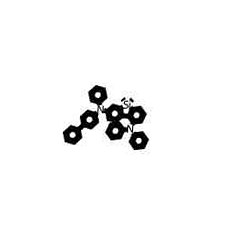 C[Si]1(C)c2cc(N(c3ccccc3)c3ccc(-c4ccccc4)cc3)ccc2-c2c(N(c3ccccc3)c3ccccc3)cccc21